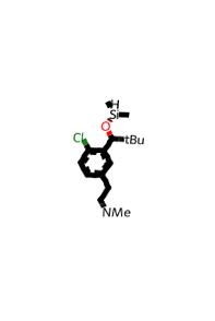 CNCCc1ccc(Cl)c(C(O[SiH](C)C)C(C)(C)C)c1